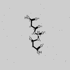 O=C(O)CC(=O)O[PH](=O)OC(=O)CC(=O)O